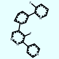 Fc1cccnc1-c1cccc(-c2cnnc(-c3ccncc3)c2F)c1